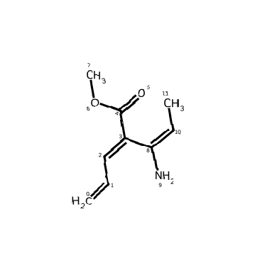 C=C/C=C(C(=O)OC)\C(N)=C/C